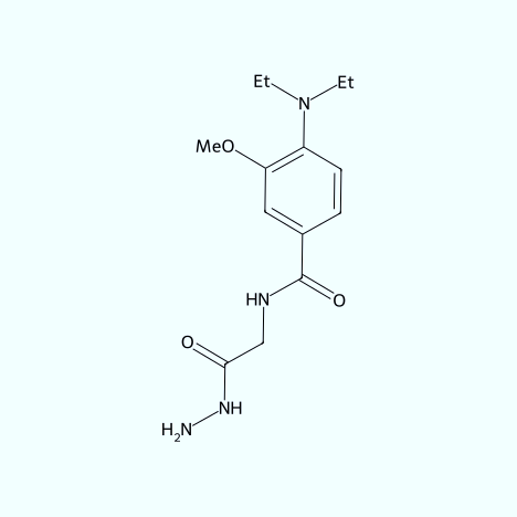 CCN(CC)c1ccc(C(=O)NCC(=O)NN)cc1OC